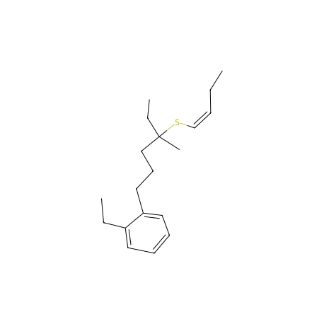 CC/C=C\SC(C)(CC)CCCc1ccccc1CC